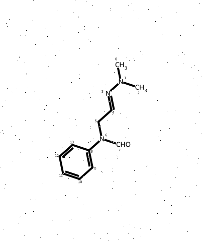 CN(C)N=CCN(C=O)c1ccccc1